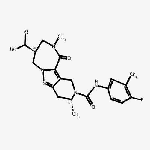 CCC(O)[C@H]1CN(C)C(=O)c2c3c(nn2C1)C[C@@H](C)N(C(=O)Nc1ccc(F)c(C(F)(F)F)c1)C3